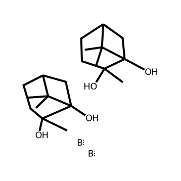 CC1(O)CCC2CC1(O)C2(C)C.CC1(O)CCC2CC1(O)C2(C)C.[B].[B]